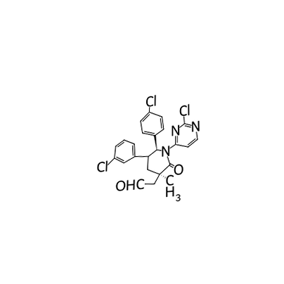 C[C@]1(CC=O)CC(c2cccc(Cl)c2)[C@@H](c2ccc(Cl)cc2)N(c2ccnc(Cl)n2)C1=O